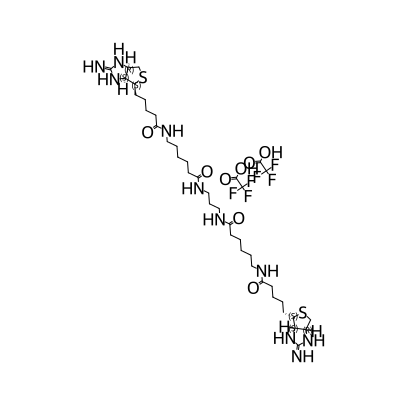 N=C1N[C@H]2[C@H](CS[C@H]2CCCCC(=O)NCCCCCC(=O)NCCCNC(=O)CCCCCNC(=O)CCCC[C@@H]2SC[C@@H]3NC(=N)N[C@@H]32)N1.O=C(O)C(F)(F)F.O=C(O)C(F)(F)F